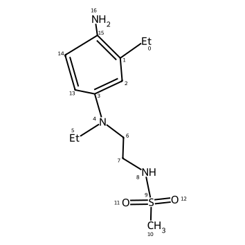 CCc1cc(N(CC)CCNS(C)(=O)=O)ccc1N